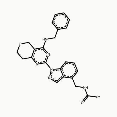 CC(C)C(=O)NCc1cccc2c1cnn2-c1nc2c(c(NCc3ccccc3)n1)COCC2